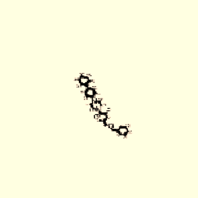 [CH2][C@@H](CC(C)COCc1ccccc1)C(=O)N1CCN(c2ccc(-c3ccccc3)cc2)CC1